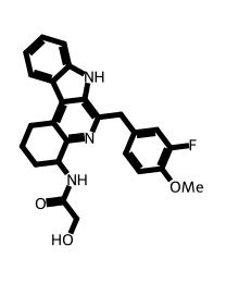 COc1ccc(Cc2nc3c(c4c2[nH]c2ccccc24)CCCC3NC(=O)CO)cc1F